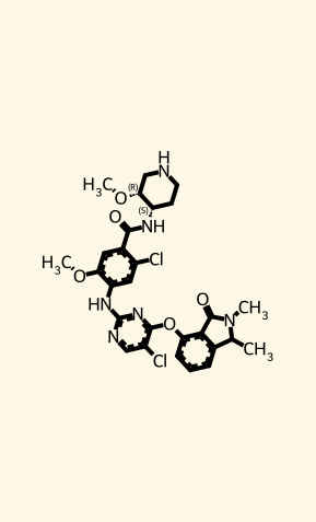 COc1cc(C(=O)N[C@H]2CCNC[C@H]2OC)c(Cl)cc1Nc1ncc(Cl)c(Oc2cccc3c2C(=O)N(C)C3C)n1